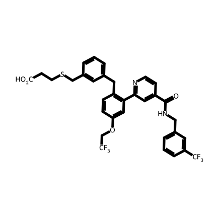 O=C(O)CCSCc1cccc(Cc2ccc(OCC(F)(F)F)cc2-c2cc(C(=O)NCc3cccc(C(F)(F)F)c3)ccn2)c1